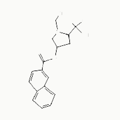 CCN1CC(OC(=O)c2ccc3ccccc3c2)CC1C(C)(C)C